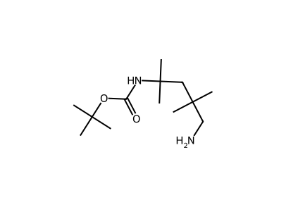 CC(C)(CN)CC(C)(C)NC(=O)OC(C)(C)C